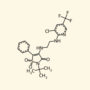 CC(C)(C)N1C(=O)C(NCCNc2ncc(C(F)(F)F)cc2Cl)=C(c2ccccc2)S1(=O)=O